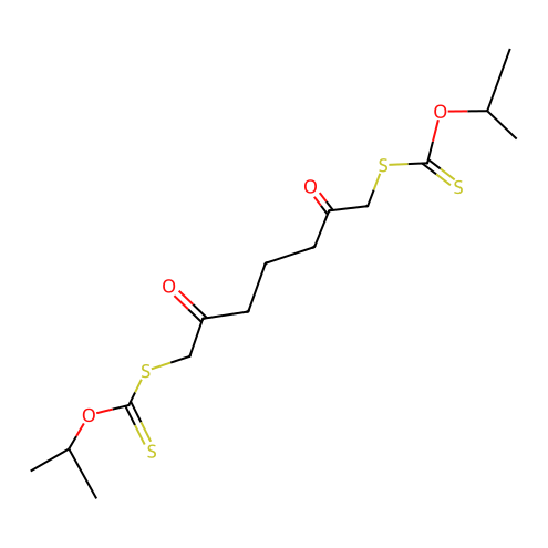 CC(C)OC(=S)SCC(=O)CCCC(=O)CSC(=S)OC(C)C